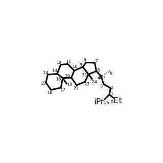 CCC(CC[C@@H](C)C1CCC2C3CCC4CCCCC4(C)C3CCC21C)C(C)C